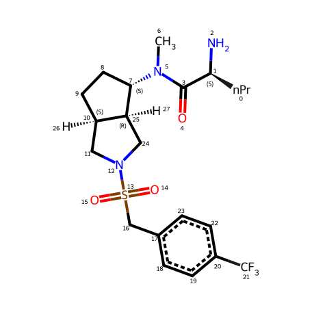 CCC[C@H](N)C(=O)N(C)[C@H]1CC[C@@H]2CN(S(=O)(=O)Cc3ccc(C(F)(F)F)cc3)C[C@@H]21